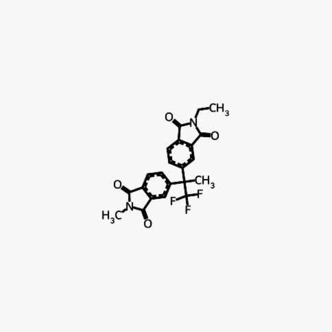 CCN1C(=O)c2ccc(C(C)(c3ccc4c(c3)C(=O)N(C)C4=O)C(F)(F)F)cc2C1=O